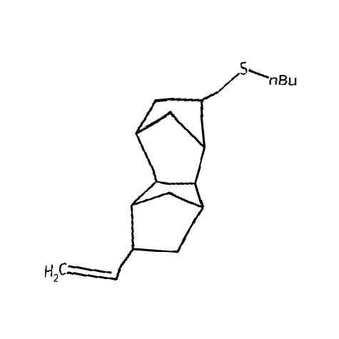 C=CC1CC2CC1C1C3CC(SCCCC)C(C3)C21